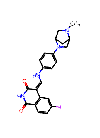 CN1CC2CC1CN2c1ccc(N/C=C2\C(=O)NC(=O)c3ccc(I)cc32)cc1